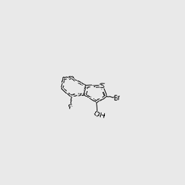 Oc1c(Br)sc2cccc(F)c12